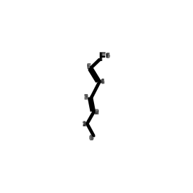 CCC=CC=CF